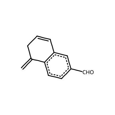 C=C1CC=Cc2cc(C=O)ccc21